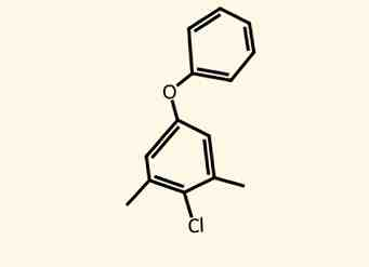 Cc1cc(Oc2ccccc2)cc(C)c1Cl